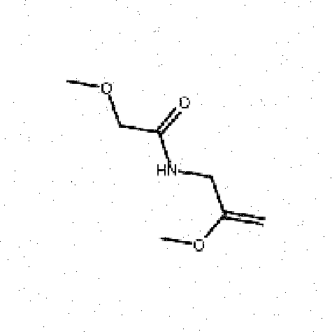 C=C(CNC(=O)COC)OC